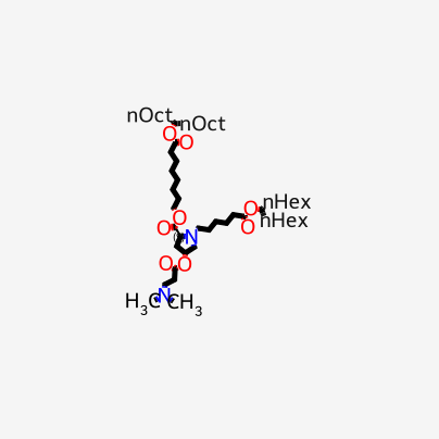 CCCCCCCCC(CCCCCCCC)OC(=O)CCCCCCCOC(=O)[C@@H]1CC(OC(=O)CCN(C)C)CN1CCCCCC(=O)OC(CCCCCC)CCCCCC